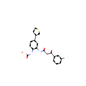 CC(C)(C)OC(=O)Nc1ccc(-c2ccsc2)cc1NC(=O)CC(=O)c1cccc(C#N)c1